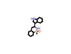 C=S1(=O)NC(c2c[nH]c3ccccc23)=Cc2ccccc21